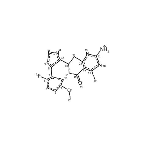 COc1ccc(F)c(-c2scnc2C2CC(=O)c3c(C)nc(N)nc3C2)c1